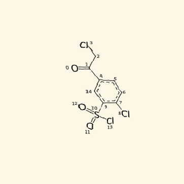 O=C(CCl)c1ccc(Cl)c(S(=O)(=O)Cl)c1